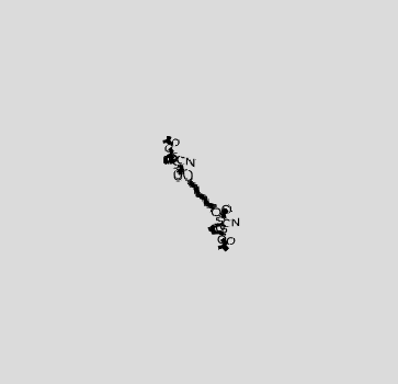 C=C(C)C(=O)OCC12C=CC(O1)C(C#N)(SCC(=O)OCCCCCCOC(=O)CSC1(C#N)SC3(COC(=O)C(=C)C)C=CC1O3)S2